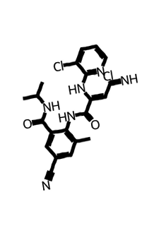 Cc1cc(C#N)cc(C(=O)NC(C)C)c1NC(=O)/C(=C/C(=N)Cl)Nc1ncccc1Cl